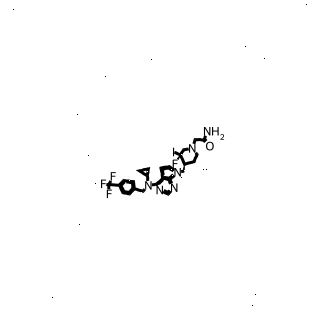 NC(=O)CN1CC[C@@H](Cn2ccc3c(N(Cc4ccc(C(F)(F)F)cc4)C4CC4)ncnc32)[C@](F)(I)C1